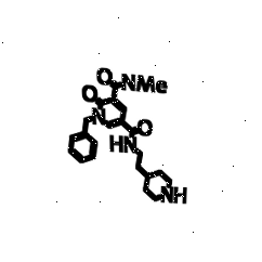 CNC(=O)c1cc(C(=O)NCCC2CCNCC2)cn(Cc2ccccc2)c1=O